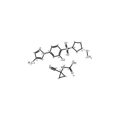 CO[C@H]1CC[C@H](S(=O)(=O)c2ccc(-n3cc(C)cn3)cc2Cl)C1.N#CC1(NC(=O)O)CC1